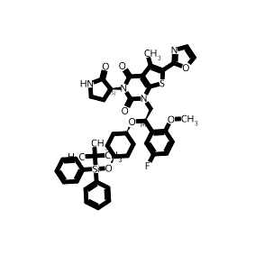 COc1ccc(F)cc1[C@H](Cn1c(=O)n([C@H]2CCNC2=O)c(=O)c2c(C)c(-c3ncco3)sc21)O[C@H]1CC[C@@H](O[Si](c2ccccc2)(c2ccccc2)C(C)(C)C)CC1